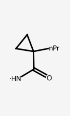 CCCC1(C([NH])=O)CC1